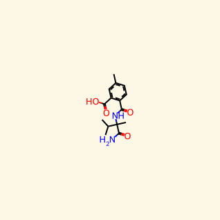 Cc1ccc(C(=O)NC(C)(C(N)=O)C(C)C)c(C(=O)O)c1